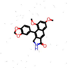 COc1cc(OC)c2c(-c3ccc4c(c3)OCO4)c3c(cc2c1)C(=O)NC3